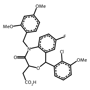 COc1ccc(CN2C(=O)C(CC(=O)O)OC(c3cccc(OC)c3Cl)c3cc(F)ccc32)c(OC)c1